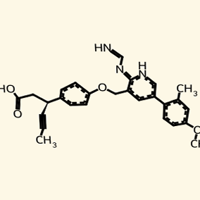 CC#C[C@@H](CC(=O)O)c1ccc(OCc2cc(-c3ccc(OC)cc3C)c[nH]/c2=N\C=N)cc1